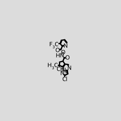 CC1(C)CC(C(=O)NOC(=O)c2ncccc2C(F)(F)F)c2cnc3cc(Cl)nn3c21